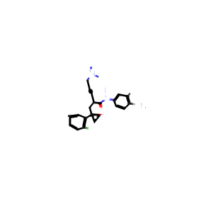 CN(C)CC#CC(CC1(c2cc(C(F)(F)F)ccc2F)CC1)C(=O)Nc1ccc(C#N)c(C(F)(F)F)c1